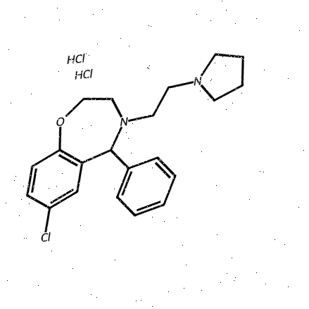 Cl.Cl.Clc1ccc2c(c1)C(c1ccccc1)N(CCN1CCCC1)CCO2